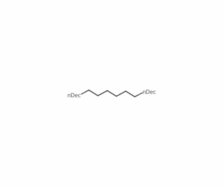 CCCCC[CH]CCCCCCCCCCCCCCCCCCCC